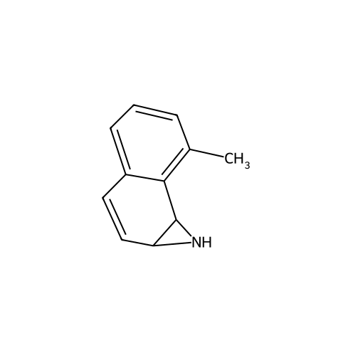 Cc1cccc2c1C1NC1C=C2